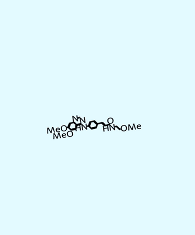 COCCNC(=O)C=Cc1ccc(Nc2ncnc3cc(OC)c(OC)cc23)cc1